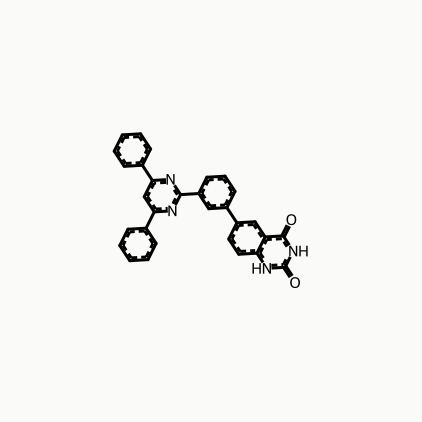 O=c1[nH]c(=O)c2cc(-c3cccc(-c4nc(-c5ccccc5)cc(-c5ccccc5)n4)c3)ccc2[nH]1